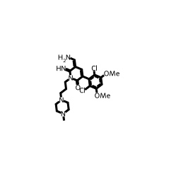 COc1cc(OC)c(Cl)c(C2=C/C(=C/N)C(=N)N(CCCN3CCN(C)CC3)C2=O)c1Cl